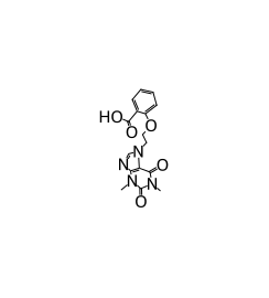 Cn1c(=O)c2c(ncn2CCOc2ccccc2C(=O)O)n(C)c1=O